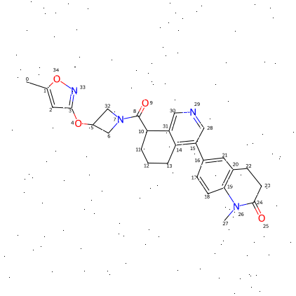 Cc1cc(OC2CN(C(=O)C3CCCc4c(-c5ccc6c(c5)CCC(=O)N6C)cncc43)C2)no1